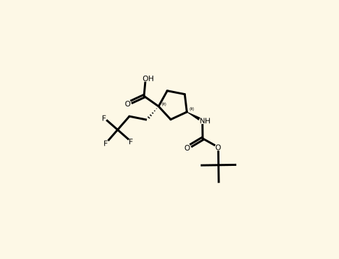 CC(C)(C)OC(=O)N[C@@H]1CC[C@](CCC(F)(F)F)(C(=O)O)C1